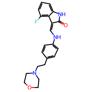 O=C1Nc2cccc(F)c2/C1=C/Nc1ccc(CCN2CCOCC2)cc1